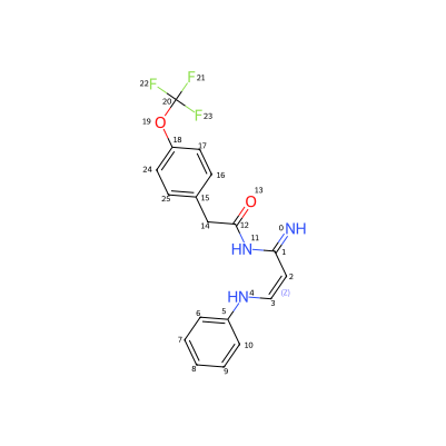 N=C(/C=C\Nc1ccccc1)NC(=O)Cc1ccc(OC(F)(F)F)cc1